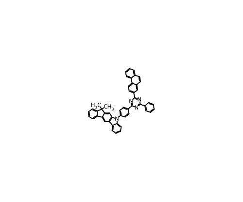 CC1(C)c2ccccc2-c2cc3c4ccccc4n(-c4ccc(-c5nc(-c6ccccc6)nc(-c6ccc7c(ccc8ccccc87)c6)n5)cc4)c3cc21